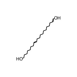 OC=CCCCCCCCCCC=CCCCCCCCO